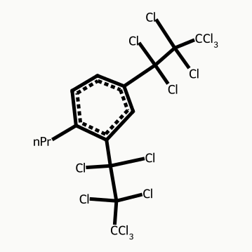 [CH2]CCc1ccc(C(Cl)(Cl)C(Cl)(Cl)C(Cl)(Cl)Cl)cc1C(Cl)(Cl)C(Cl)(Cl)C(Cl)(Cl)Cl